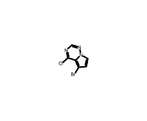 Clc1ncnn2ccc(Br)c12